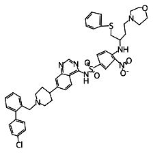 O=[N+]([O-])c1cc(S(=O)(=O)Nc2ncnc3cc(C4CCN(Cc5ccccc5-c5ccc(Cl)cc5)CC4)ccc23)ccc1NC(CCN1CCOCC1)CSc1ccccc1